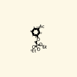 CCOP(=O)(COc1cccc(C(C)=O)c1)OCC